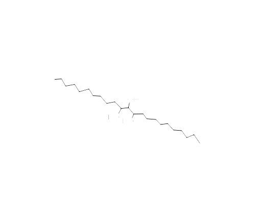 CCCCCCCCCCC(O)C(O)C(O)CCCCCCCCCC